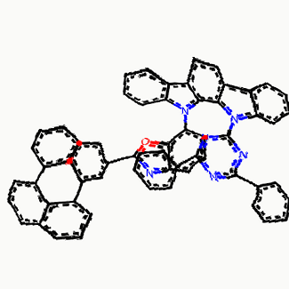 c1ccc(-c2nc(-c3ccccc3)nc(-n3c4ccccc4c4ccc5c6ccccc6n(-c6cccc7nc(-c8cccc(-c9cccc%10cccc(-c%11ccccc%11)c9%10)c8)oc67)c5c43)n2)cc1